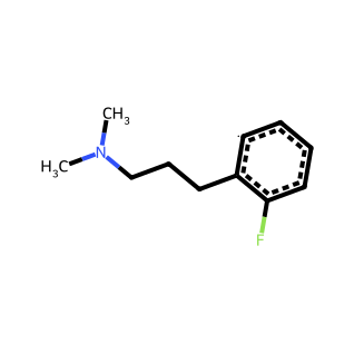 CN(C)CCCc1[c]cccc1F